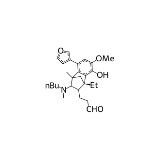 CCCCN(C)C1C(CCC=O)[C@]2(CC)CC1(C)c1c(-c3ccoc3)cc(OC)c(O)c12